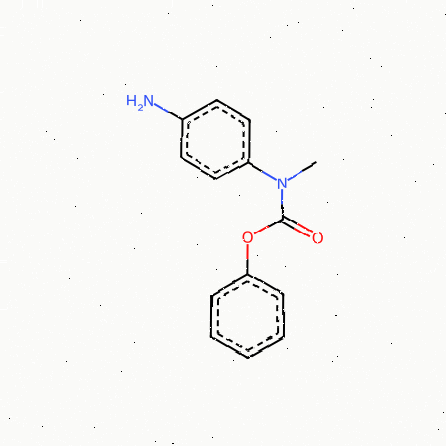 CN(C(=O)Oc1ccccc1)c1ccc(N)cc1